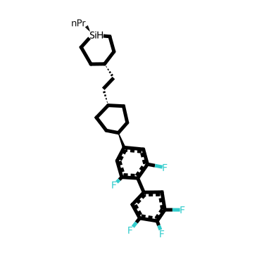 CCC[Si@H]1CC[C@H](CC[C@H]2CC[C@H](c3cc(F)c(-c4cc(F)c(F)c(F)c4)c(F)c3)CC2)CC1